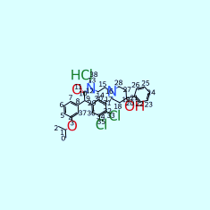 CC(C)Oc1cccc(C(C(=O)N(C)CCN2CCC(O)(c3ccccc3)CC2)c2ccc(Cl)c(Cl)c2)c1.Cl